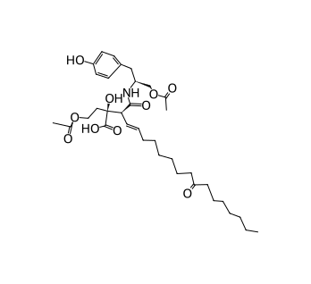 CCCCCCCC(=O)CCCCCC/C=C/[C@H](C(=O)N[C@H](COC(C)=O)Cc1ccc(O)cc1)[C@@](O)(CCOC(C)=O)C(=O)O